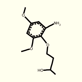 COc1cc(N)c(OCCC(C)O)c(OC)c1